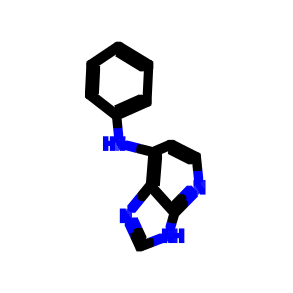 c1ccc(Nc2ccnc3[nH]cnc23)cc1